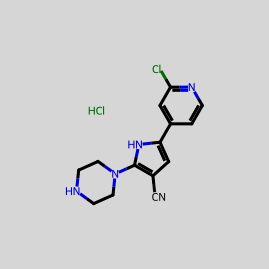 Cl.N#Cc1cc(-c2ccnc(Cl)c2)[nH]c1N1CCNCC1